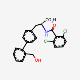 O=C(N[C@@H](Cc1ccc(-c2ccccc2CO)cc1)C(=O)O)c1c(Cl)cccc1Cl